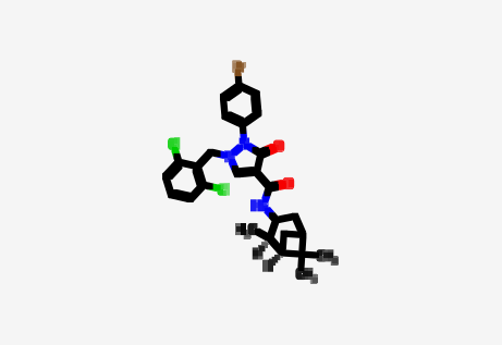 C[C@H]1C(NC(=O)c2cn(Cc3c(Cl)cccc3Cl)n(-c3ccc(Br)cc3)c2=O)CC2C[C@H]1C2(C)C